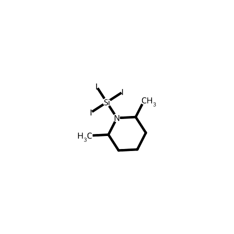 CC1CCCC(C)N1[Si](I)(I)I